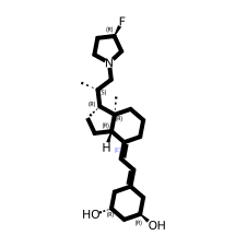 C[C@H](CN1CC[C@@H](F)C1)[C@H]1CC[C@H]2/C(=C/C=C3C[C@@H](O)C[C@H](O)C3)CCC[C@]12C